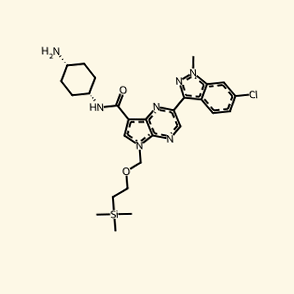 Cn1nc(-c2cnc3c(n2)c(C(=O)N[C@H]2CC[C@@H](N)CC2)cn3COCC[Si](C)(C)C)c2ccc(Cl)cc21